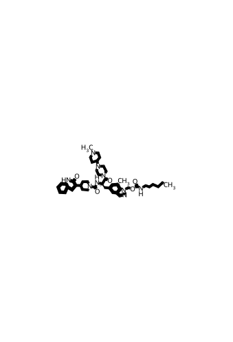 CCCCCCNC(=O)OCn1ncc2cc(C[C@@H](NC(=O)N3CCC(c4cc5ccccc5[nH]c4=O)CC3)C(=O)N3CCN(C4CCN(C)CC4)CC3)cc(C)c21